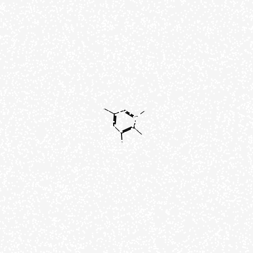 O=Cc1c(O)cc(Cl)cc1Br